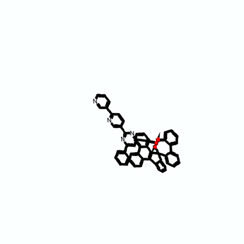 c1ccc(-c2cc(-c3ccc4c(c3)C3(c5ccccc5-c5ccccc5-4)c4ccccc4-c4c3c3ccccc3c3ccccc43)nc(-c3ccc(-c4cccnc4)nc3)n2)cc1